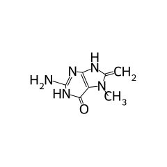 C=C1Nc2nc(N)[nH]c(=O)c2N1C